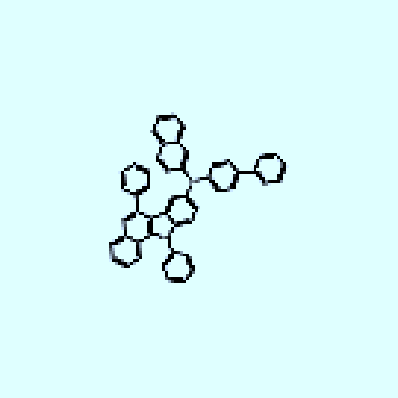 c1ccc(-c2ccc(N(c3ccc4ccccc4c3)c3ccc4c(c3)c3c(-c5ccccc5)cc5ccccc5c3n4-c3ccccc3)cc2)cc1